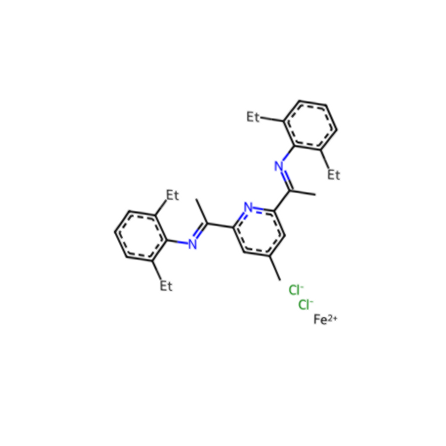 CCc1cccc(CC)c1N=C(C)c1cc(C)cc(C(C)=Nc2c(CC)cccc2CC)n1.[Cl-].[Cl-].[Fe+2]